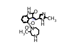 Cc1ncc(/C=C2\C(=O)Nc3cccc(S(=O)(=O)N4CCCNCC4C)c32)[nH]1